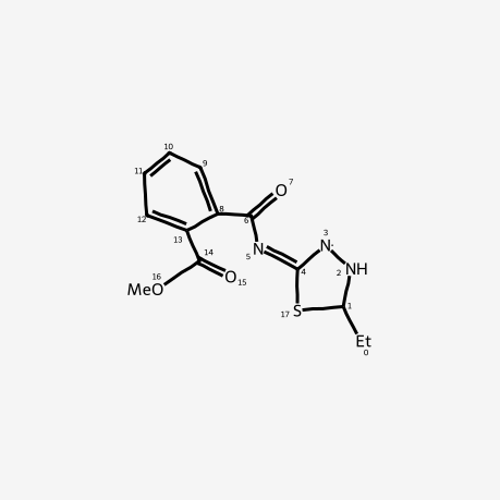 CCC1N[N]C(=NC(=O)c2ccccc2C(=O)OC)S1